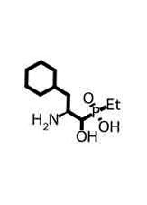 CCP(=O)(O)C(O)[C@@H](N)CC1CCCCC1